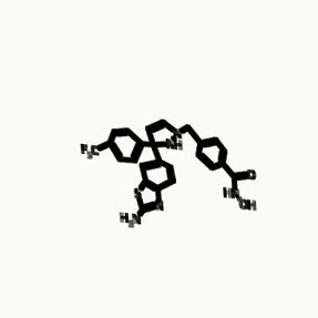 Nc1nc2ccc(C3(c4ccc(C(F)(F)F)cc4)C=CN(Cc4ccc(C(=O)NO)cc4)N3)cc2s1